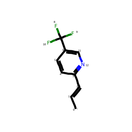 [CH2]/C=C/c1ccc(C(F)(F)F)cn1